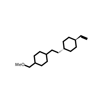 C=C[C@H]1CC[C@H](CCC2CCC(COC)CC2)CC1